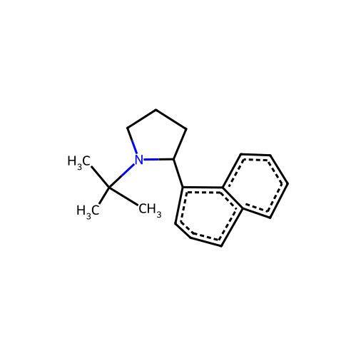 CC(C)(C)N1CCCC1c1cccc2ccccc12